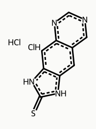 Cl.Cl.S=c1[nH]c2cc3cncnc3cc2[nH]1